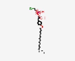 CCCCCCCCCCCCCCOc1ccc(CC(O)COP(=O)(O)OCCBr)cc1